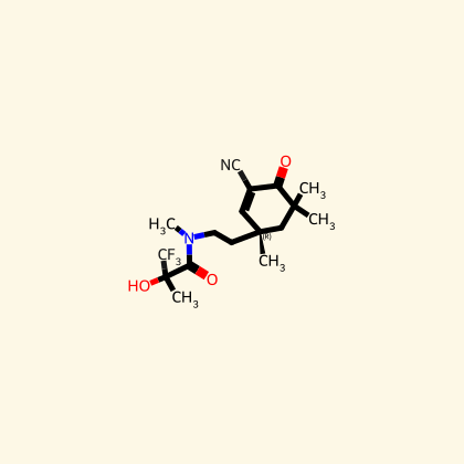 CN(CC[C@]1(C)C=C(C#N)C(=O)C(C)(C)C1)C(=O)C(C)(O)C(F)(F)F